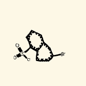 O=S(=O)(Cl)c1cccc2cc(Br)ccc12